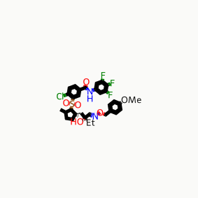 CC[C@@](O)(/C=N/OCc1ccc(OC)cc1)C[C@@H]1CCC(C)C1S(=O)(=O)c1cc(C(=O)Nc2cc(F)c(F)c(F)c2)ccc1Cl